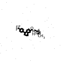 Cc1nsc(CNC(=O)c2ccc3c(-c4ccc(C(F)(F)F)cc4)cccc3c2)n1